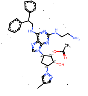 Cc1cnn([C@H]2C[C@@H](n3cnc4c(NCC(c5ccccc5)c5ccccc5)nc(NCCN)nc43)[C@H](OC(=O)C(F)(F)F)[C@@H]2O)c1